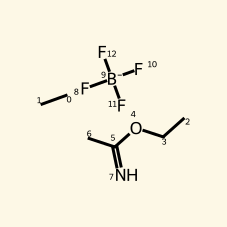 CC.CCOC(C)=N.F[B-](F)(F)F